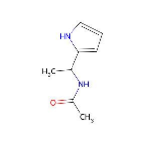 CC(=O)NC(C)c1ccc[nH]1